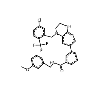 COc1cccc(CNC(=O)c2cccc(-c3cnc4c(c3)N(Cc3cc(Cl)ccc3C(F)(F)F)CCN4)c2)c1